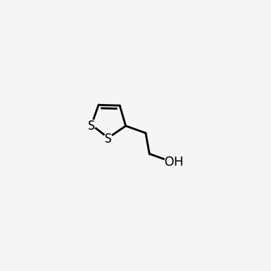 OCCC1C=CSS1